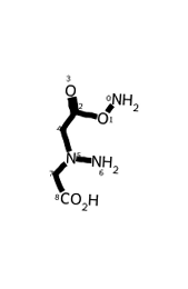 NOC(=O)CN(N)CC(=O)O